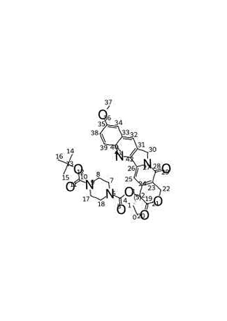 CC[C@@]1(OC(=O)N2CCN(C(=O)OC(C)(C)C)CC2)C(=O)OCc2c1cc1n(c2=O)Cc2cc3cc(OC)ccc3nc2-1